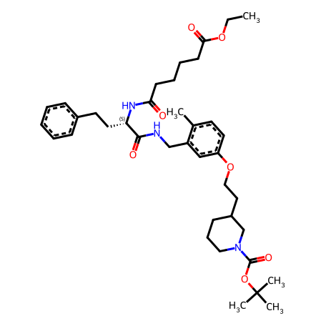 CCOC(=O)CCCCC(=O)N[C@@H](CCc1ccccc1)C(=O)NCc1cc(OCCC2CCCN(C(=O)OC(C)(C)C)C2)ccc1C